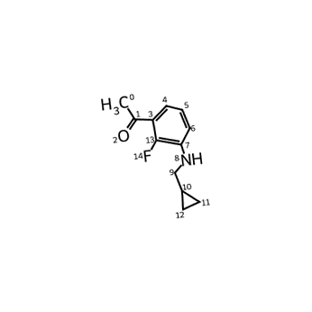 CC(=O)c1cccc(NCC2CC2)c1F